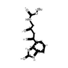 CC(C)(C)OC(=O)NCC(=O)CC(=S)c1cccc2c1=NC(=O)N=2